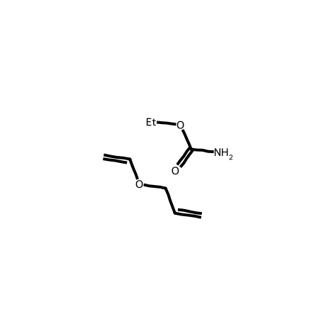 C=CCOC=C.CCOC(N)=O